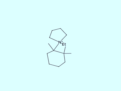 CC[N+]1(C2(C)CCCCC2(C)C)CCCC1